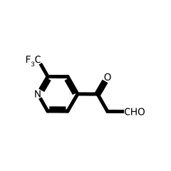 O=CCC(=O)c1ccnc(C(F)(F)F)c1